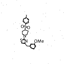 COc1cccc(Cc2csc(N3CCC(S(=O)(=O)c4ccc(C)cc4)CC3)n2)c1